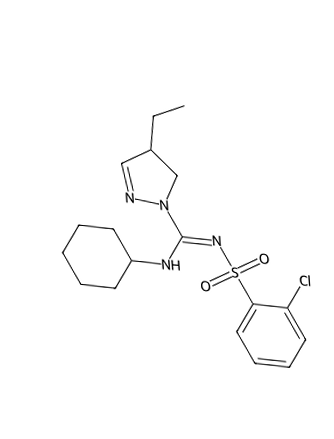 CCC1C=NN(/C(=N/S(=O)(=O)c2ccccc2Cl)NC2CCCCC2)C1